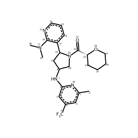 Cc1cc(C(F)(F)F)cc(NC2CC(c3cccnc3N(C)C)N(C(=O)[C@H]3CCCCO3)C2)n1